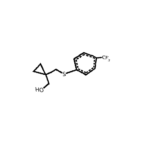 OCC1(CSc2ccc(C(F)(F)F)cc2)CC1